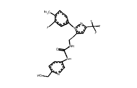 Cc1ccc(-n2nc(C(F)(F)F)cc2CNC(=O)Nc2ccc(CO)nc2)cc1F